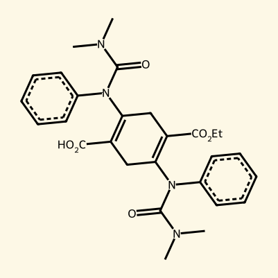 CCOC(=O)C1=C(N(C(=O)N(C)C)c2ccccc2)CC(C(=O)O)=C(N(C(=O)N(C)C)c2ccccc2)C1